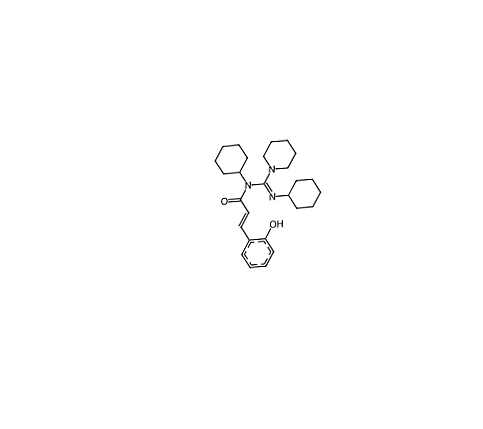 O=C(/C=C/c1ccccc1O)N(/C(=N/C1CCCCC1)N1CCCCC1)C1CCCCC1